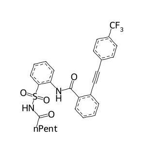 CCCCCC(=O)NS(=O)(=O)c1ccccc1NC(=O)c1ccccc1C#Cc1ccc(C(F)(F)F)cc1